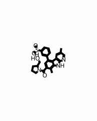 Cc1cnc2[nH]c3c(C)c(C(=O)N4CCCC4CO)cc(-c4cccc([SH](=O)=O)c4)c3c2c1